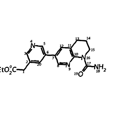 CCOC(=O)Cc1cncc(-c2cnc3c(c2)CCCN3C(N)=O)c1